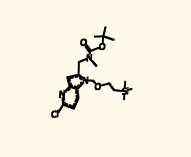 CN(Cc1cc2nc(Cl)ccc2n1COCC[Si](C)(C)C)C(=O)OC(C)(C)C